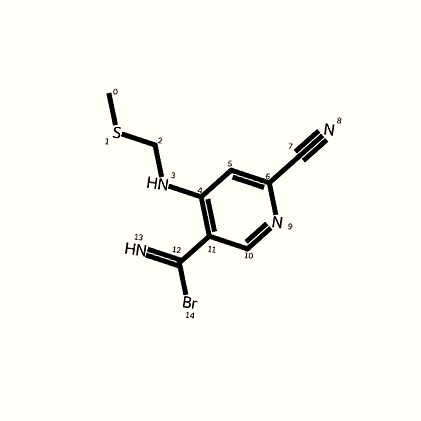 CSCNc1cc(C#N)ncc1C(=N)Br